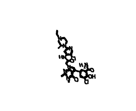 CCN1CCN(c2cc(NC(=O)Cn3cc(-c4cc(Cl)c(O)c(C(N)=O)c4)c4c(=O)n(C)c(C)nc43)c(Cl)cn2)[C@@H](C)C1